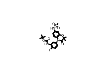 CC(C)(C)OC(=O)Nc1cc(N2C(=O)C(C)(C)Oc3cc(NS(C)(=O)=O)ccc32)ccc1F